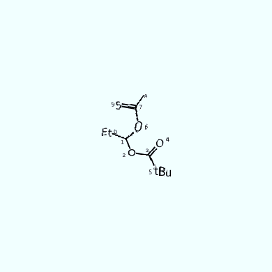 CCC(OC(=O)C(C)(C)C)OC(C)=S